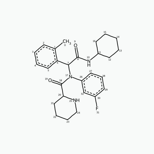 Cc1ccccc1C(C(=O)NC1CCCCC1)N(C(=O)C1CCCCN1)c1cccc(F)c1